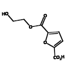 O=C(O)c1ccc(C(=O)OCCO)o1